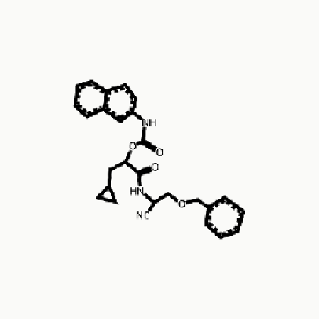 N#CC(COCc1ccccc1)NC(=O)C(CC1CC1)OC(=O)Nc1ccc2ccccc2c1